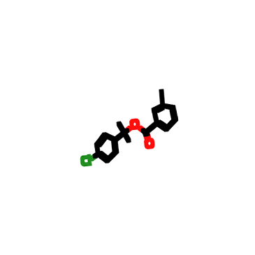 Cc1cccc(C(=O)OC(C)(C)c2ccc(Cl)cc2)c1